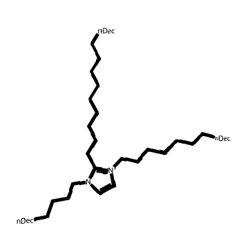 CCCCCCCCCCCCCCCCCCCc1n(CCCCCCCCCCCCCC)cc[n+]1CCCCCCCCCCCCCCCCC